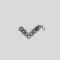 C1CCCCC1.C1CCCCC1.C1CCCCC1.C1CCCCC1.C1CCCCC1.C1CCCCC1.CC1CCCO1